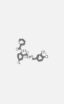 O=C(Nc1ccc(Br)cc1C(=O)N/N=C/c1ccc(Cl)c(C(F)(F)F)c1)c1ccccn1